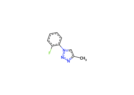 Cc1cn(-c2ccccc2F)nn1